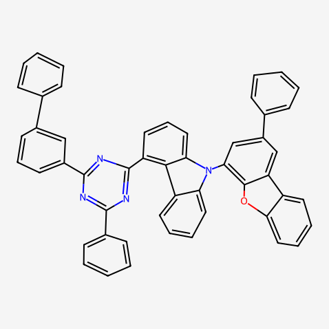 c1ccc(-c2cccc(-c3nc(-c4ccccc4)nc(-c4cccc5c4c4ccccc4n5-c4cc(-c5ccccc5)cc5c4oc4ccccc45)n3)c2)cc1